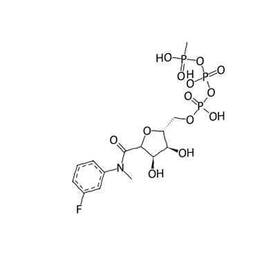 CN(C(=O)C1O[C@H](COP(=O)(O)OP(=O)(O)OP(C)(=O)O)[C@@H](O)[C@H]1O)c1cccc(F)c1